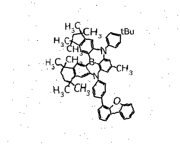 Cc1cc2c3c(c1)N(c1ccc(C(C)(C)C)cc1)c1cc4c(cc1B3c1cc3c(cc1N2c1ccc(-c2cccc5c2oc2ccccc25)cc1)C(C)(C)CCC3(C)C)C(C)(C)CC4(C)C